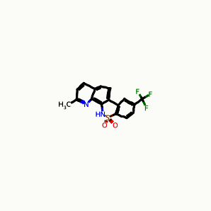 Cc1ccc2ccc3c(c2n1)NS(=O)(=O)c1ccc(C(F)(F)F)cc1-3